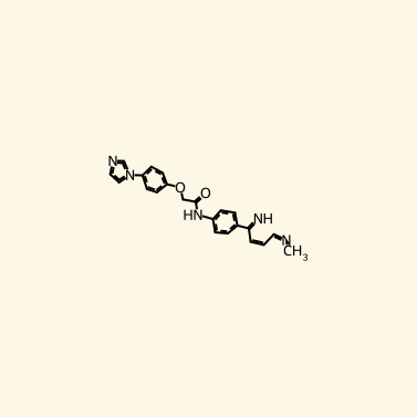 C/N=C\C=C/C(=N)c1ccc(NC(=O)COc2ccc(-n3ccnc3)cc2)cc1